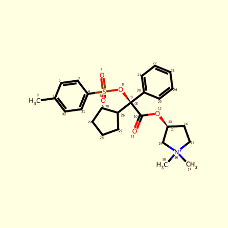 Cc1ccc(S(=O)(=O)O[C@](C(=O)O[C@H]2CC[N+](C)(C)C2)(c2ccccc2)C2CCCC2)cc1